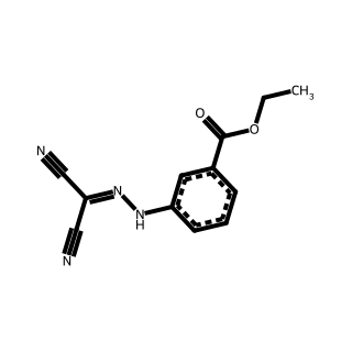 CCOC(=O)c1cccc(NN=C(C#N)C#N)c1